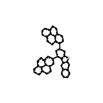 c1ccc2cc3c(cc2c1)oc1cc(-c2ccc4ccc5cccc6ccc2c4c56)cc(-c2cc4ccc5cccc6ccc(c2)c4c56)c13